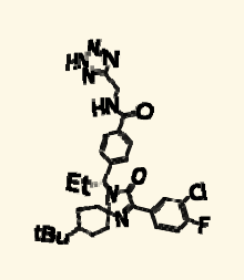 CC[C@H](c1ccc(C(=O)NCc2nn[nH]n2)cc1)N1C(=O)C(c2ccc(F)c(Cl)c2)=NC12CCC(C(C)(C)C)CC2